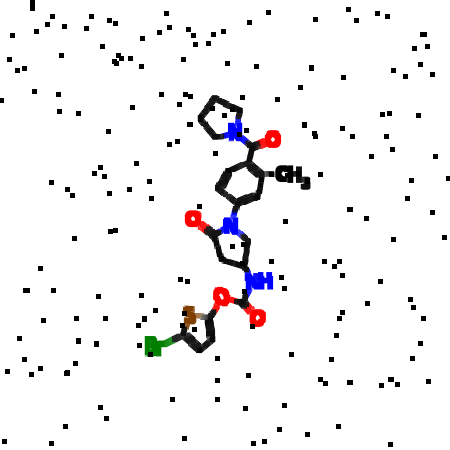 Cc1cc(N2CC(NC(=O)Oc3ccc(Br)s3)CC2=O)ccc1C(=O)N1CCCC1